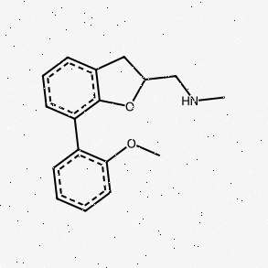 CNCC1Cc2cccc(-c3ccccc3OC)c2O1